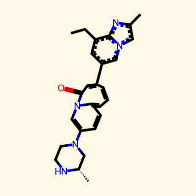 CCc1cc(C2=C\C(=O)N3C=C(N4CCN[C@@H](C)C4)C=C\C3=C/C=C/2)cn2cc(C)nc12